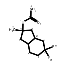 C[C@]1(OC(N)=O)CC2CCC(F)(F)CC2C1